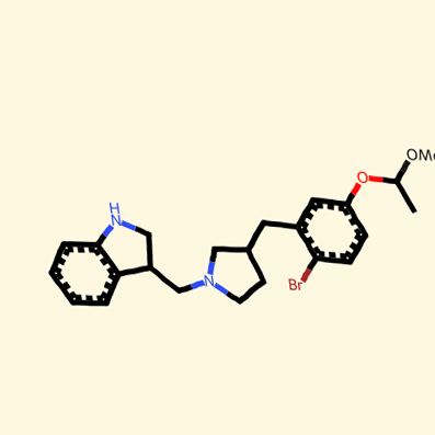 COC(C)Oc1ccc(Br)c(CC2CCN(CC3CNc4ccccc43)C2)c1